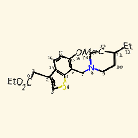 CCOC(=O)Cc1csc2c(CN3CCC(CC)CC3)c(OC)ccc12